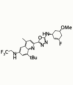 CO[C@H]1CC(F)=C[C@@H](Nc2nnc(-c3cc(C)c4cc(NCC(F)(F)F)cc(C(C)(C)C)c4n3)o2)C1